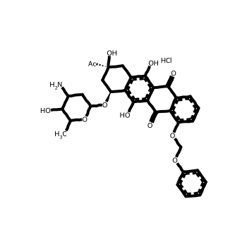 CC(=O)[C@]1(O)Cc2c(O)c3c(c(O)c2[C@@H](OC2CC(N)C(O)C(C)O2)C1)C(=O)c1c(OCOc2ccccc2)cccc1C3=O.Cl